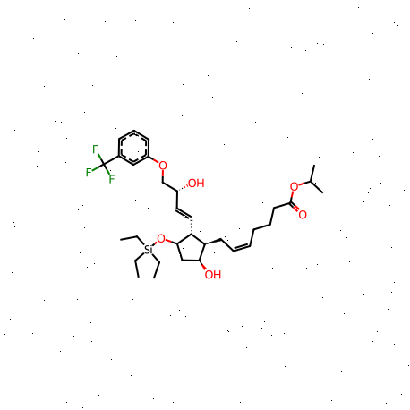 CC[Si](CC)(CC)OC1C[C@H](O)[C@H](C/C=C\CCCC(=O)OC(C)C)[C@H]1/C=C/[C@@H](O)COc1cccc(C(F)(F)F)c1